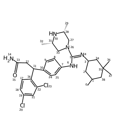 CC1CC(/N=C(\Nc2ccc(C(CC(N)=O)c3ccc(Cl)cc3Cl)cc2)N2C[C@@H](C)N[C@@H](C)C2)CC(C)(C)C1